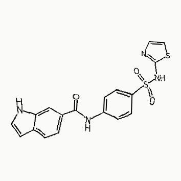 O=C(Nc1ccc(S(=O)(=O)Nc2nccs2)cc1)c1ccc2cc[nH]c2c1